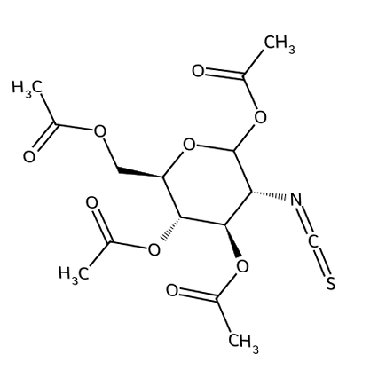 CC(=O)OC[C@H]1OC(OC(C)=O)[C@H](N=C=S)[C@@H](OC(C)=O)[C@@H]1OC(C)=O